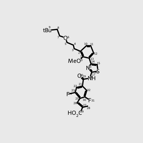 COc1c(CCCOCCC(C)(C)C)cccc1-c1csc(NC(=O)c2cc(F)c(/C=C(\C)C(=O)O)c(F)c2)n1